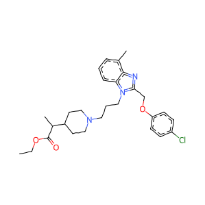 CCOC(=O)C(C)C1CCN(CCCn2c(COc3ccc(Cl)cc3)nc3c(C)cccc32)CC1